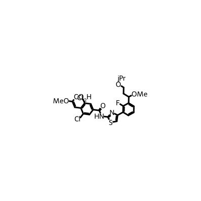 CO/C(=C/c1c(Cl)cc(C(=O)Nc2nc(-c3cccc(C(CCOC(C)C)OC)c3F)cs2)cc1Cl)C(=O)O